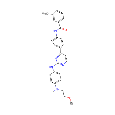 CCOCCN(C)c1ccc(Nc2nccc(-c3ccc(NC(=O)c4cccc(OC)c4)cc3)n2)cc1